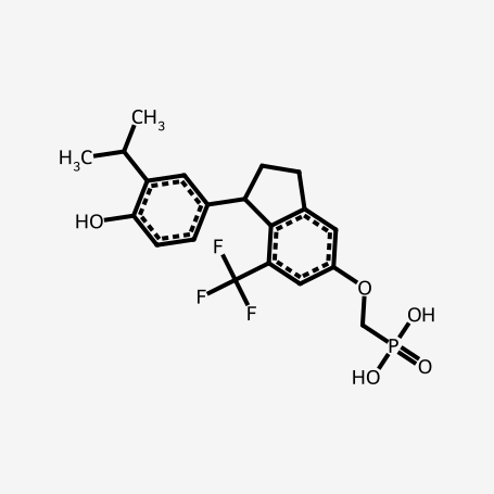 CC(C)c1cc(C2CCc3cc(OCP(=O)(O)O)cc(C(F)(F)F)c32)ccc1O